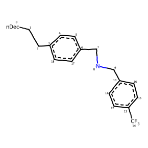 CCCCCCCCCCCCc1ccc(C[N]Cc2ccc(C(F)(F)F)cc2)cc1